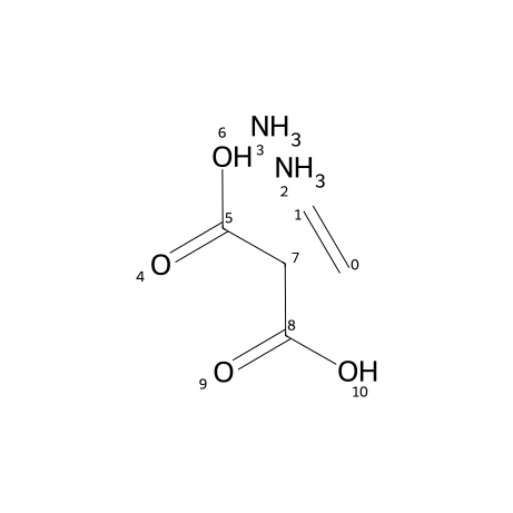 C=C.N.N.O=C(O)CC(=O)O